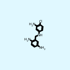 Nc1ccc(N)c(CNc2ccc(Cl)c(N)c2)c1